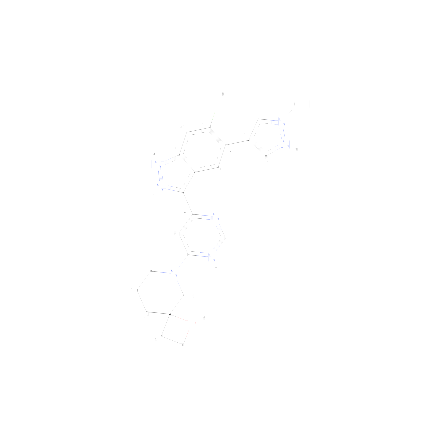 Cn1cc(-c2cc3c(-c4cc(N5CCCC6(CCO6)C5)ncn4)n[nH]c3cc2F)cn1